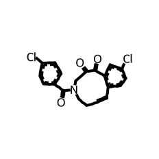 O=C1CN(C(=O)c2ccc(Cl)cc2)CCC=Cc2ccc(Cl)cc2C1=O